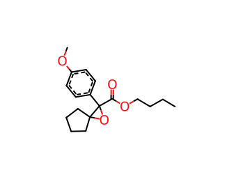 CCCCOC(=O)C1(c2ccc(OC)cc2)OC12CCCC2